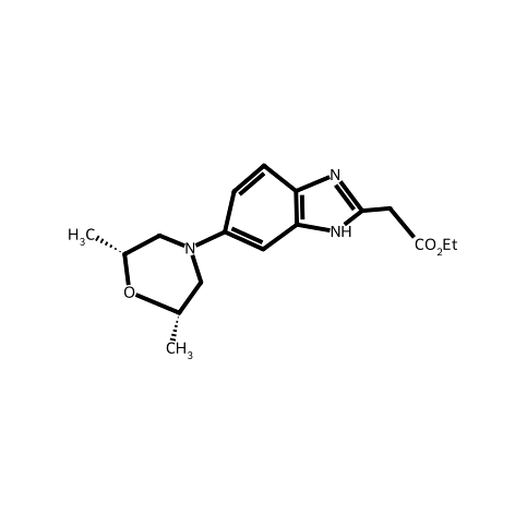 CCOC(=O)Cc1nc2ccc(N3C[C@@H](C)O[C@@H](C)C3)cc2[nH]1